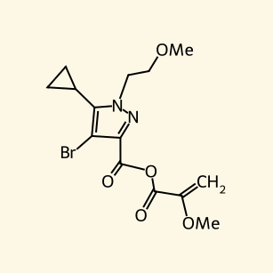 C=C(OC)C(=O)OC(=O)c1nn(CCOC)c(C2CC2)c1Br